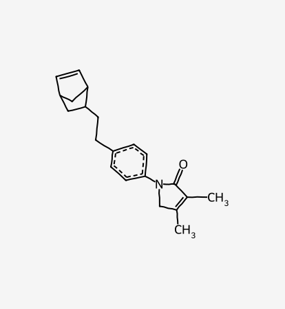 CC1=C(C)C(=O)N(c2ccc(CCC3CC4C=CC3C4)cc2)C1